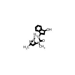 Cc1cc(N(C)C(=O)OC2=CC(O)c3ccccc32)n(C)n1